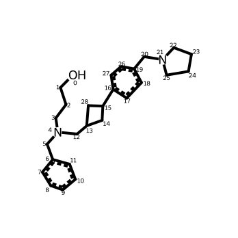 OCCCN(Cc1ccccc1)CC1CC(c2ccc(CN3CCCC3)cc2)C1